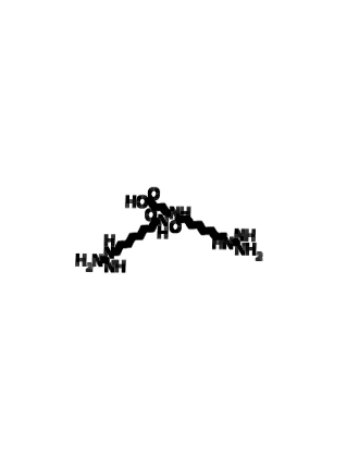 N=C(N)NCCCCCCCC(=O)NC(CCC(=O)O)NC(=O)CCCCCCCNC(=N)N